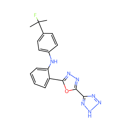 CC(C)(F)c1ccc(Nc2ccccc2-c2nnc(-c3nn[nH]n3)o2)cc1